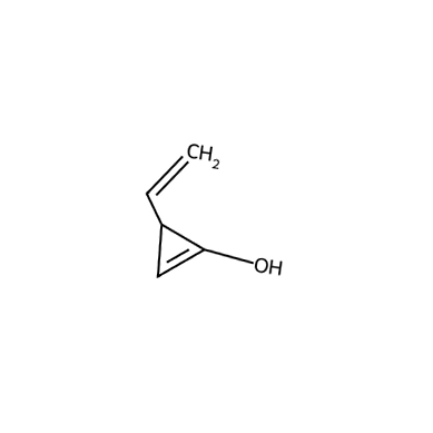 C=CC1C=C1O